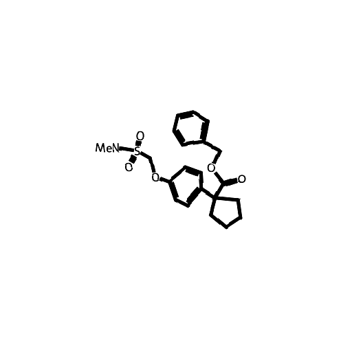 CNS(=O)(=O)COc1ccc(C2(C(=O)OCc3ccccc3)CCCC2)cc1